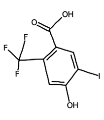 O=C(O)c1cc(I)c(O)cc1C(F)(F)F